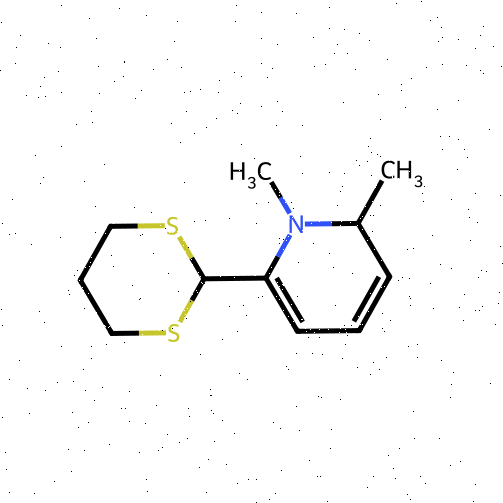 CC1C=CC=C(C2SCCCS2)N1C